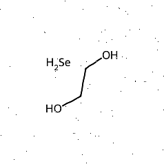 OCCO.[SeH2]